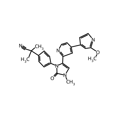 COc1cc(-c2ccnc(-c3cn(C)c(=O)n3-c3ccc(C(C)(C)C#N)cc3)c2)ccn1